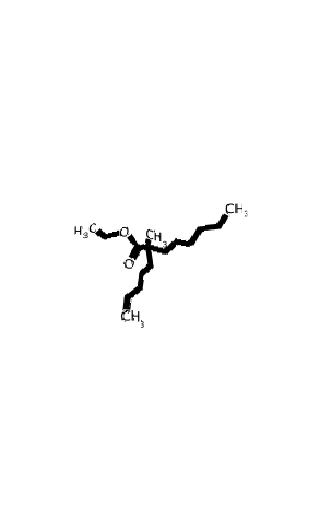 CCCCCCC(C)(CCCCC)C(=O)OCC